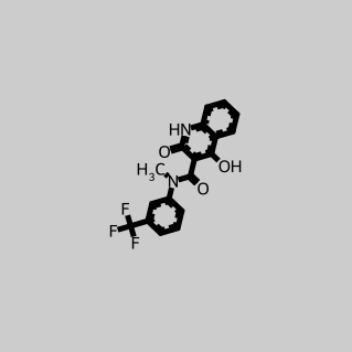 CN(C(=O)c1c(O)c2ccccc2[nH]c1=O)c1cccc(C(F)(F)F)c1